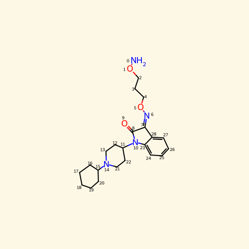 NOCCCO/N=C1\C(=O)N(C2CCN(C3CCCCC3)CC2)c2ccccc21